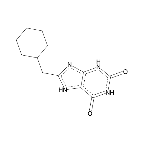 O=c1[nH]c(=O)c2[nH]c(CC3CCCCC3)nc2[nH]1